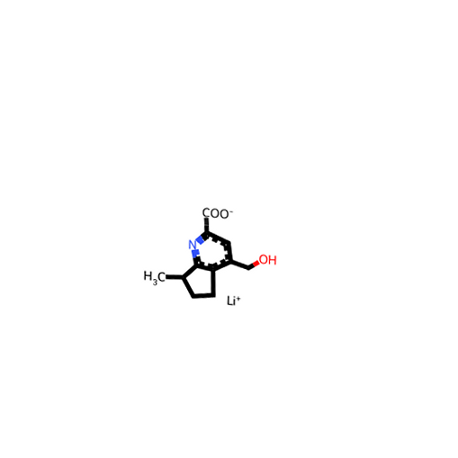 CC1CCc2c(CO)cc(C(=O)[O-])nc21.[Li+]